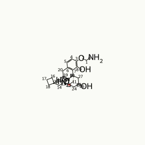 NCOc1ccc2c(c1O)[C@]13CCN(CC4CCC4)[C@H](C2)[C@]1(O)CC[C@H](O)C3